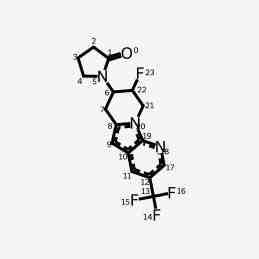 O=C1CCCN1C1Cc2cc3cc(C(F)(F)F)cnc3n2CC1F